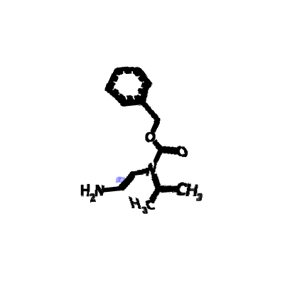 CC(C)N(/C=C/N)C(=O)OCc1ccccc1